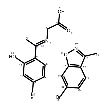 C/C(=N\CC(=O)O)c1ccc(Br)cc1O.Cc1noc2cc(Br)ccc12